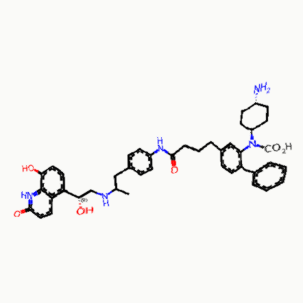 CC(Cc1ccc(NC(=O)CCCc2ccc(-c3ccccc3)c(N(C(=O)O)[C@H]3CC[C@H](N)CC3)c2)cc1)NC[C@H](O)c1ccc(O)c2[nH]c(=O)ccc12